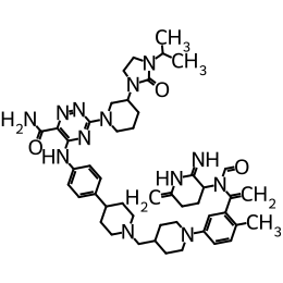 C=C1CCC(N(C=O)C(=C)c2cc(N3CCC(CN4CCC(c5ccc(Nc6nc(N7CCCC(N8CCN(C(C)C)C8=O)C7)nnc6C(N)=O)cc5)CC4)CC3)ccc2C)C(=N)N1